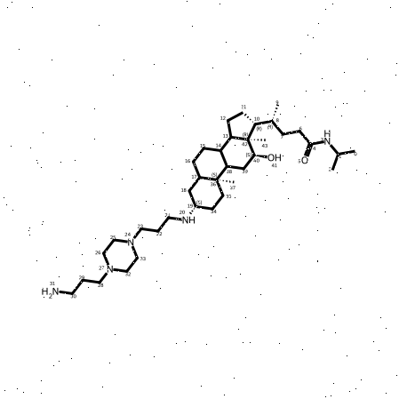 CC(C)NC(=O)CC[C@@H](C)[C@H]1CCC2C3CCC4C[C@@H](NCCCN5CCN(CCCN)CC5)CC[C@]4(C)C3C[C@H](O)[C@@]21C